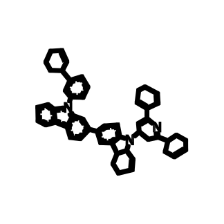 C1=CC(C2=CC(N3c4ccc(-c5ccc6c7ccccc7n(-c7cccc(C8C=CCCC8)c7)c6c5)cc4C4CCC=CC43)CC(C3CC=CCC3)=N2)=CCC1